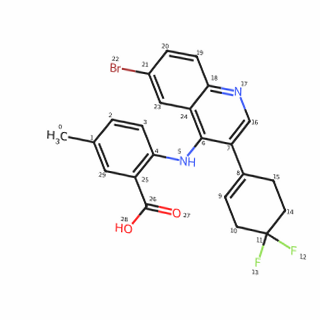 Cc1ccc(Nc2c(C3=CCC(F)(F)CC3)cnc3ccc(Br)cc23)c(C(=O)O)c1